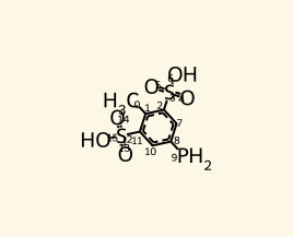 Cc1c(S(=O)(=O)O)cc(P)cc1S(=O)(=O)O